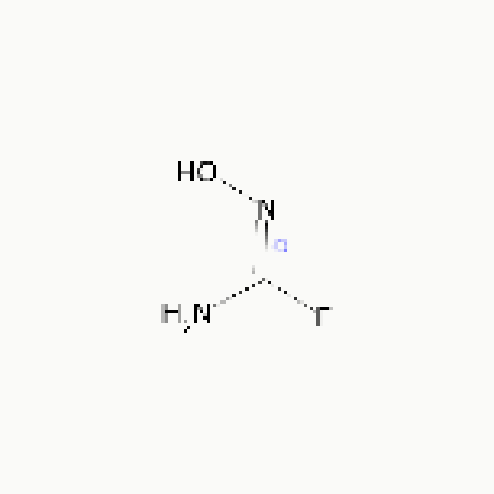 N/C(F)=N\O